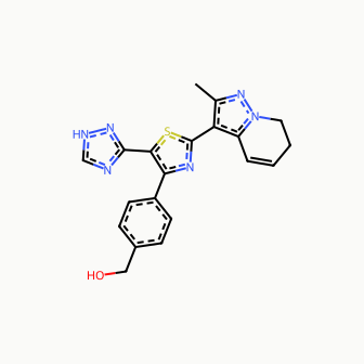 Cc1nn2c(c1-c1nc(-c3ccc(CO)cc3)c(-c3nc[nH]n3)s1)C=CCC2